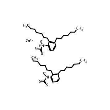 CCCCCCCc1cccc([NH+]([S-])C(=S)[S-])c1CCCCCCC.CCCCCCCc1cccc([NH+]([S-])C(=S)[S-])c1CCCCCCC.[Zn+2]